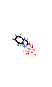 O=P(O)(O)Oc1cc2ccccc2[nH]1